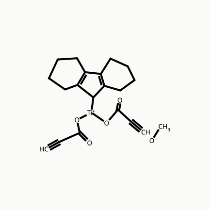 C#CC(=O)[O][Ti+]([O]C(=O)C#C)[CH]1C2=C(CCCC2)C2=C1CCCC2.C[O-]